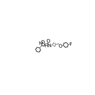 O=C(N[C@H]1C[C@H](COc2ccc(F)cc2)C1)c1cc(-c2ccccc2)no1